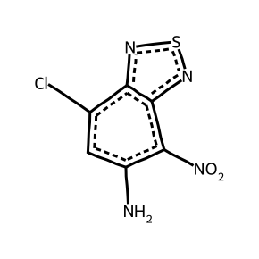 Nc1cc(Cl)c2nsnc2c1[N+](=O)[O-]